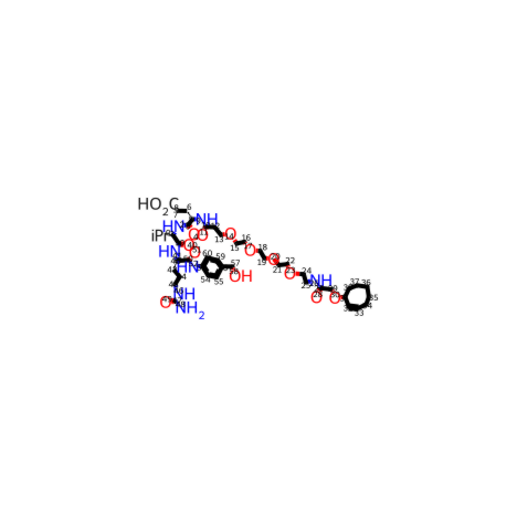 CC(C)[C@H](NC(=O)[C@H](CCC(=O)O)NC(=O)CCOCCOCCOCCOCCNC(=O)COC1C#CCCCCC1)C(=O)N[C@@H](CCCNC(N)=O)C(=O)Nc1ccc(CO)cc1